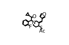 CC(=O)SC1CCN(C(C(=O)C2CC2)c2ccccc2F)CC1=Cc1ccoc1